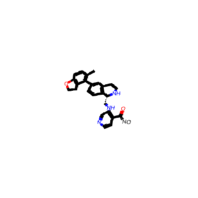 Cc1ccc2c(c1-c1ccc3c(c1)CCN[C@@H]3CNc1cnccc1C(=O)N=O)CCO2